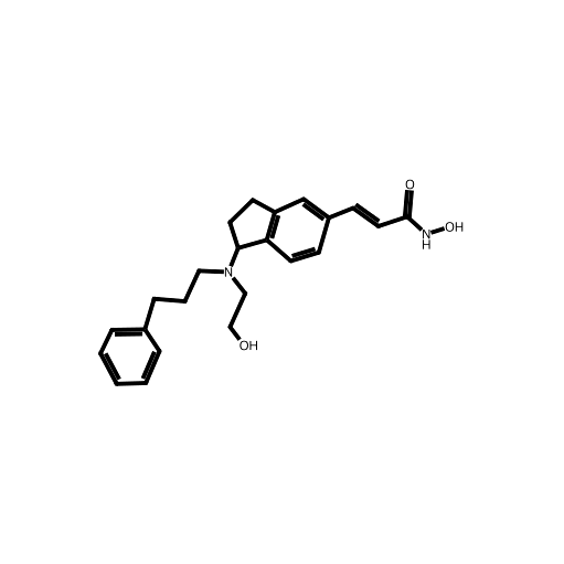 O=C(C=Cc1ccc2c(c1)CCC2N(CCO)CCCc1ccccc1)NO